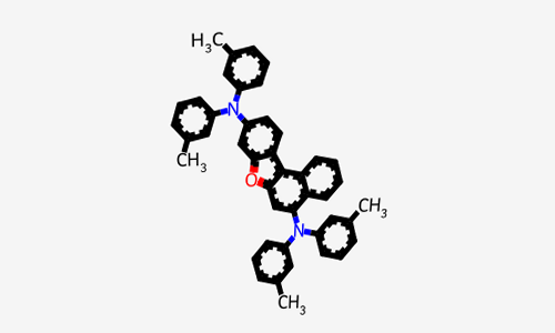 Cc1cccc(N(c2cccc(C)c2)c2ccc3c(c2)oc2cc(N(c4cccc(C)c4)c4cccc(C)c4)c4ccccc4c23)c1